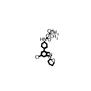 CC(C)(C)OC(=O)NC1CC=C(c2cc(Cl)cc3c2cnn3C2CCCCO2)CC1